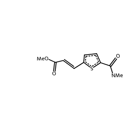 CNC(=O)c1ccc(C=CC(=O)OC)s1